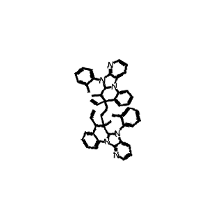 C=CC1c2ccccc2N2c3ncccc3N(c3ccccc3C)C2C1(C)CCC1(C=C)c2ccccc2N2c3cccnc3N(c3ccccc3C)C2C1C